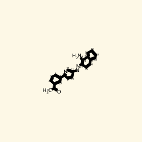 CC(=O)c1cccc(-c2ccc(N=Nc3ccc4ccccc4c3N)cn2)c1